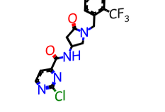 O=C(NC1CC(=O)N(Cc2ccccc2C(F)(F)F)C1)c1ccnc(Cl)n1